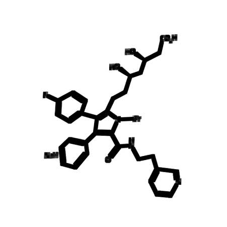 CC(C)n1c(CC[C@@H](O)C[C@@H](O)CC(=O)O)c(-c2ccc(F)cc2)c(-c2ccccc2)c1C(=O)NCCc1cccnc1.[NaH]